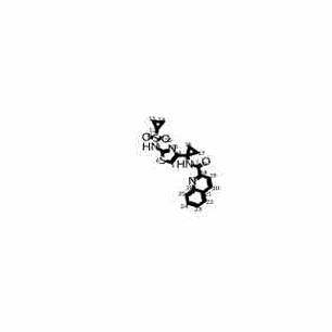 O=C(NC1(c2csc(NS(=O)(=O)C3CC3)n2)CC1)c1ccc2ccccc2n1